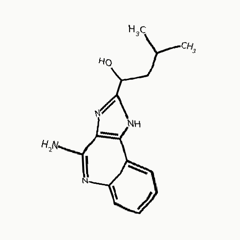 CC(C)CC(O)c1nc2c(N)nc3ccccc3c2[nH]1